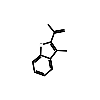 C=C(C)c1oc2ccccc2c1C